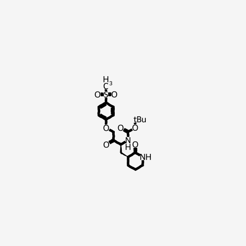 CC(C)(C)OC(=O)N[C@@H](C[C@@H]1CCCNC1=O)C(=O)COc1ccc(S(C)(=O)=O)cc1